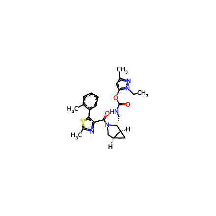 CCn1nc(C)cc1OC(=O)NC[C@@H]1[C@H]2C[C@H]2CN1C(=O)c1nc(C)sc1-c1ccccc1C